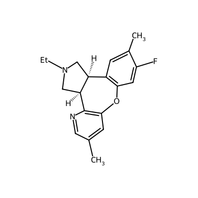 CCN1C[C@@H]2c3ncc(C)cc3Oc3cc(F)c(C)cc3[C@@H]2C1